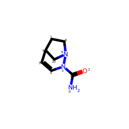 NC(=O)N1C=CC2CCN1C2